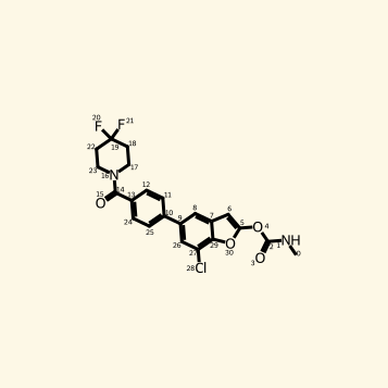 CNC(=O)Oc1cc2cc(-c3ccc(C(=O)N4CCC(F)(F)CC4)cc3)cc(Cl)c2o1